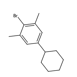 Cc1cc(C2CCCCC2)cc(C)c1Br